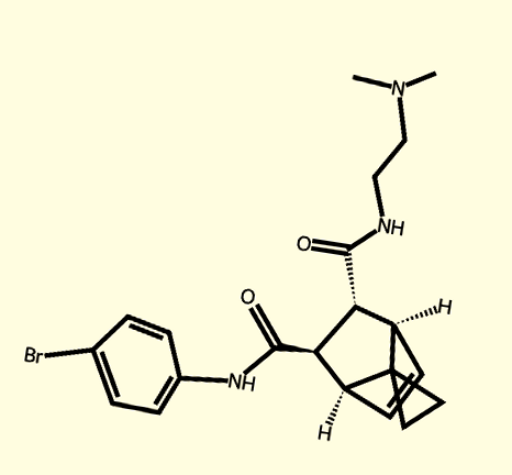 CN(C)CCNC(=O)[C@H]1[C@H](C(=O)Nc2ccc(Br)cc2)[C@@H]2C=C[C@H]1C21CC1